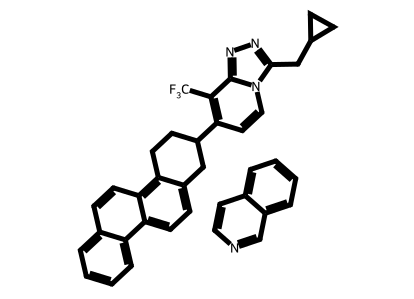 FC(F)(F)c1c(C2CCc3c(ccc4c3ccc3ccccc34)C2)ccn2c(CC3CC3)nnc12.c1ccc2cnccc2c1